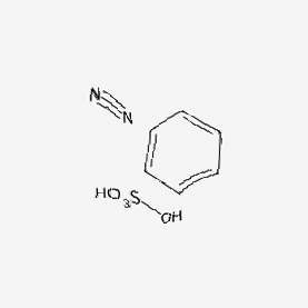 N#N.O=S(=O)(O)O.c1ccccc1